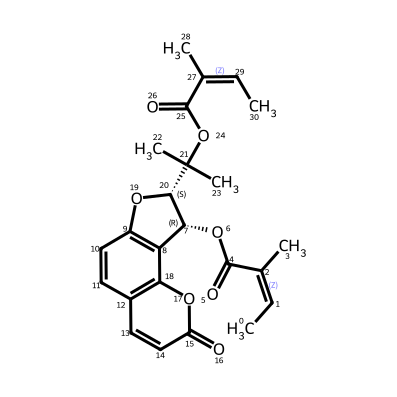 C/C=C(/C)C(=O)O[C@@H]1c2c(ccc3ccc(=O)oc23)O[C@@H]1C(C)(C)OC(=O)/C(C)=C\C